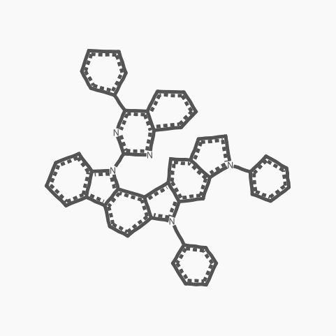 c1ccc(-c2nc(-n3c4ccccc4c4ccc5c(c6cc7ccn(-c8ccccc8)c7cc6n5-c5ccccc5)c43)nc3ccccc23)cc1